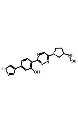 CC(C)(C)NC1CCN(c2cnc(-c3ccc(-c4cn[nH]c4)cc3O)nn2)C1